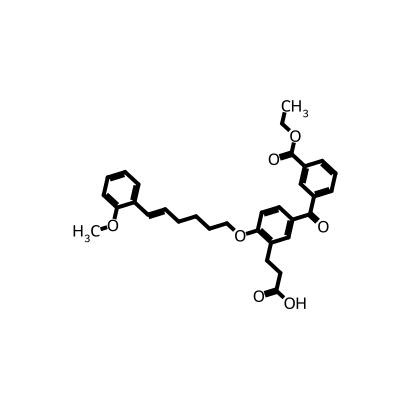 CCOC(=O)c1cccc(C(=O)c2ccc(OCCCCC=Cc3ccccc3OC)c(CCC(=O)O)c2)c1